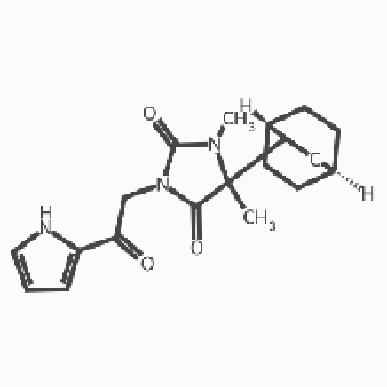 CN1C(=O)N(CC(=O)c2ccc[nH]2)C(=O)C1(C)C1C[C@H]2CC[C@H]1CC2